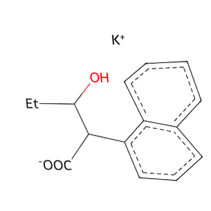 CCC(O)C(C(=O)[O-])c1cccc2ccccc12.[K+]